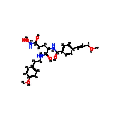 COCC#Cc1ccc(C(=O)NC(CCC(=O)NO)C(=O)NCCc2ccc(OC)cc2)cc1